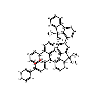 CC1(C)c2cc(-c3cccc4c3C(C)(C)c3ccccc3-4)ccc2-c2c(N(c3ccc(-c4ccccc4)cc3)c3ccccc3-c3ccccc3)cccc21